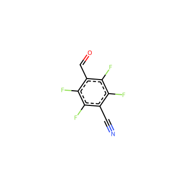 N#Cc1c(F)c(F)c(C=O)c(F)c1F